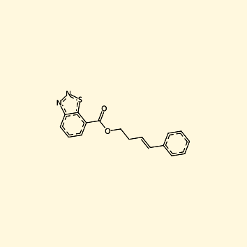 O=C(OCCC=Cc1ccccc1)c1cccc2nnsc12